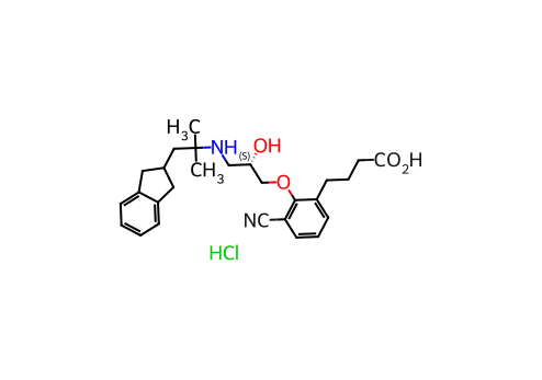 CC(C)(CC1Cc2ccccc2C1)NC[C@H](O)COc1c(C#N)cccc1CCCC(=O)O.Cl